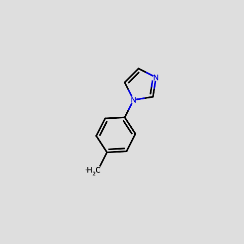 [CH2]c1ccc(-n2ccnc2)cc1